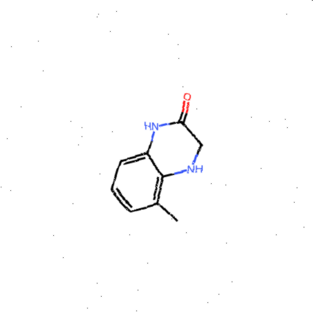 Cc1cccc2c1NCC(=O)N2